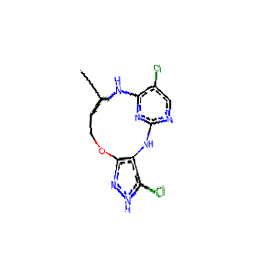 CC1CCOc2n[nH]c(Cl)c2Nc2ncc(Cl)c(n2)N1